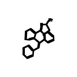 CC(C)C1COC(c2ccccc2/C(=C\c2ccccc2)c2ccccc2)=N1